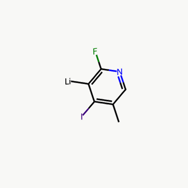 [Li][c]1c(F)ncc(C)c1I